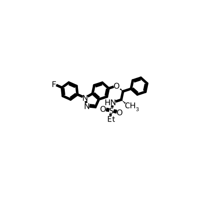 CCS(=O)(=O)N[C@@H](C)[C@H](Oc1ccc2c(cnn2-c2ccc(F)cc2)c1)c1ccccc1